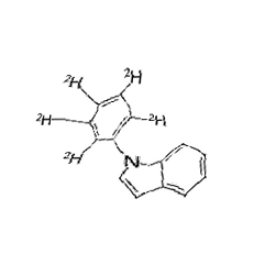 [2H]c1c([2H])c([2H])c(-n2ccc3ccccc32)c([2H])c1[2H]